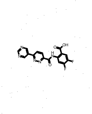 O=C(Nc1cc(F)c(F)cc1C(=O)O)c1ccc(-c2cncnc2)nn1